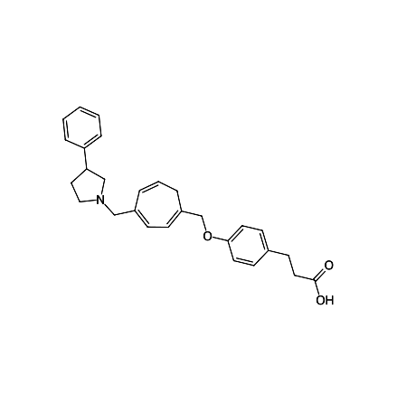 O=C(O)CCc1ccc(OCC2=CC=C(CN3CCC(c4ccccc4)C3)C=CC2)cc1